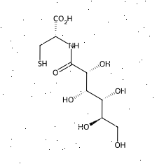 O=C(O)[C@@H](CS)NC(=O)[C@H](O)[C@@H](O)[C@H](O)[C@H](O)CO